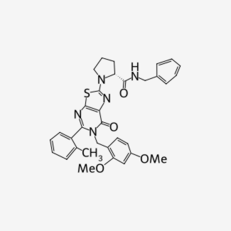 COc1ccc(Cn2c(-c3ccccc3C)nc3sc(N4CCC[C@@H]4C(=O)NCc4ccccc4)nc3c2=O)c(OC)c1